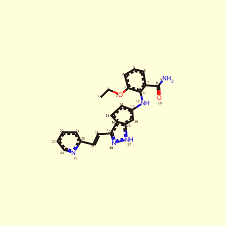 CCOc1cccc(C(N)=O)c1Nc1ccc2c(C=Cc3ccccn3)n[nH]c2c1